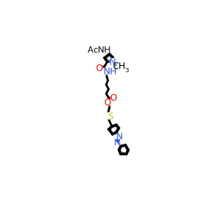 CC(=O)Nc1cc(C(=O)NCCCCCC(=O)OCCSCc2ccc(N=Nc3ccccc3)cc2)n(C)c1